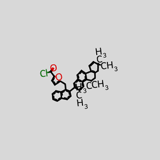 Cc1cc2c3c(ccc2cc1-c1ccc2ccccc2c1Cc1ccc(C(=O)Cl)o1)C1=C(CC(C)(C)C=C1)CC3(C)C